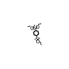 CCO[Si](C)(C)c1ccc([Si](C)(OCC)OCC)cc1